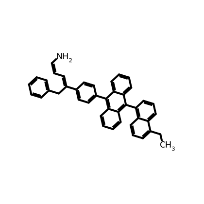 CCc1cccc2c(-c3c4ccccc4c(-c4ccc(/C(=C/C=C\N)Cc5ccccc5)cc4)c4ccccc34)cccc12